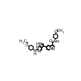 CCO[C@H]1CC[C@@H](Nc2ncc3c(-c4ccn5ncc(C(=O)NC6CCC(OC)CC6)c5c4)c[nH]c3n2)CC1